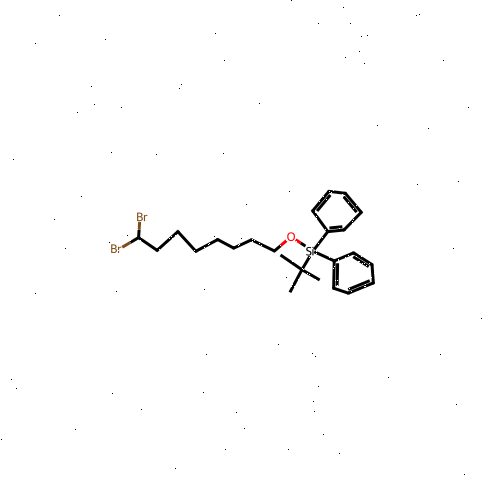 CC(C)(C)[Si](OCCCCCCCC(Br)Br)(c1ccccc1)c1ccccc1